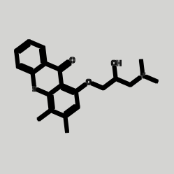 Cc1cc(OCC(O)CN(C)C)c2c(=O)c3ccccc3sc2c1C